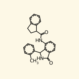 Cc1ccccc1C1NC(=O)c2cccc(NC(=O)C3CCc4ccccc43)c21